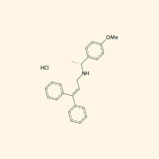 COc1ccc([C@@H](C)NCC=C(c2ccccc2)c2ccccc2)cc1.Cl